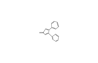 C=C1C=C(c2ccccc2)C(c2ccccc2)=C1